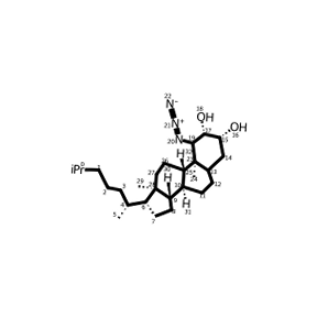 CC(C)CCC[C@@H](C)[C@H]1CC[C@H]2[C@@H]3CCC4C[C@@H](O)[C@@H](O)C(N=[N+]=[N-])[C@]4(C)[C@H]3CC[C@]12C